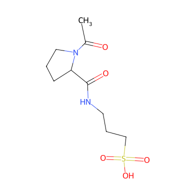 CC(=O)N1CCCC1C(=O)NCCCS(=O)(=O)O